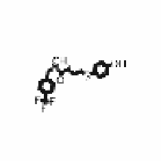 CN(Cc1ccc(C(F)(F)F)cc1)C(=O)CCCSc1ccc(O)cc1